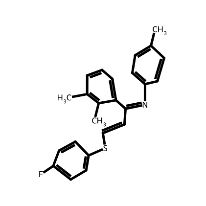 Cc1ccc(/N=C(/C=C/Sc2ccc(F)cc2)c2cccc(C)c2C)cc1